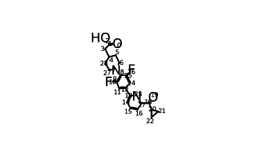 O=C(O)CC1CCN(c2c(F)cc(-c3cccc(C(=O)C4CC4)n3)cc2F)CC1